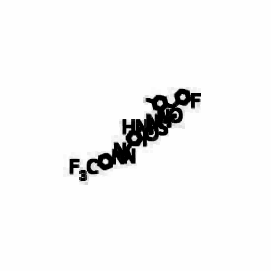 Cc1ccc(Cc2cccc(F)c2)c(N2C(=O)CSC2=NC(=O)Nc2ccc(-c3ncn(-c4ccc(C(F)(F)F)cc4)n3)cc2F)c1